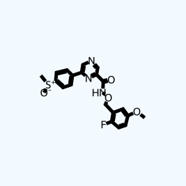 COc1ccc(F)c(CONC(=O)c2cncc(-c3ccc([S+](C)[O-])cc3)n2)c1